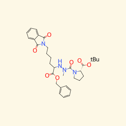 CN(NC(CCCCN1C(=O)c2ccccc2C1=O)C(=O)OCc1ccccc1)C(=O)N1CCC[C@H]1C(=O)OC(C)(C)C